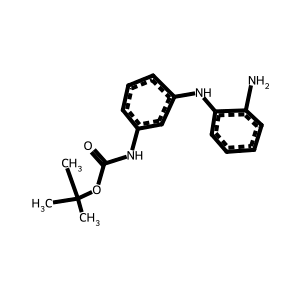 CC(C)(C)OC(=O)Nc1cccc(Nc2ccccc2N)c1